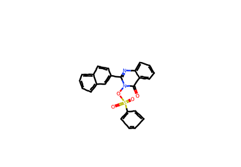 O=c1c2ccccc2nc(-c2ccc3ccccc3c2)n1OS(=O)(=O)c1ccccc1